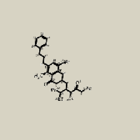 CCC(C(=O)CC(C)=O)C(CC1CC(=O)c2c(C)c(CCCc3ccccc3)cc(C(C)C)c2C1)C(CC)C(C)C